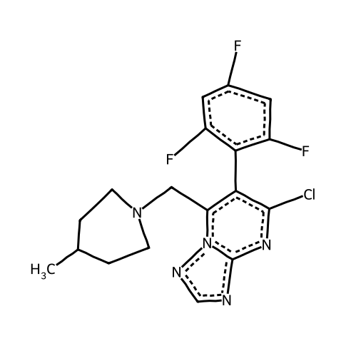 CC1CCN(Cc2c(-c3c(F)cc(F)cc3F)c(Cl)nc3ncnn23)CC1